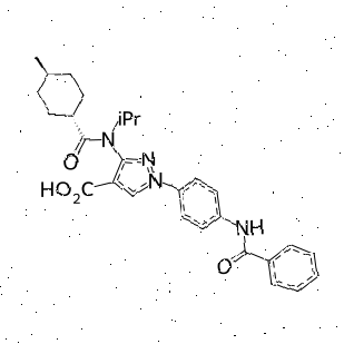 CC(C)N(c1nn(-c2ccc(NC(=O)c3ccccc3)cc2)cc1C(=O)O)C(=O)[C@H]1CC[C@H](C)CC1